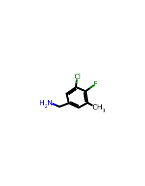 Cc1cc(CN)cc(Cl)c1F